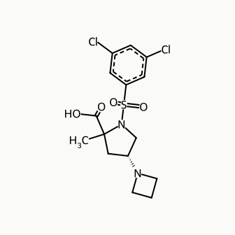 CC1(C(=O)O)C[C@@H](N2CCC2)CN1S(=O)(=O)c1cc(Cl)cc(Cl)c1